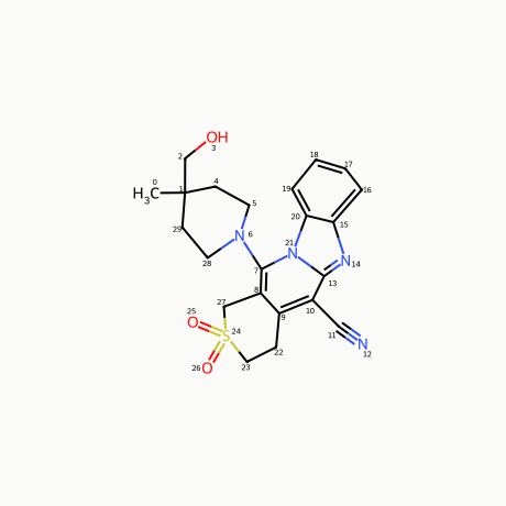 CC1(CO)CCN(c2c3c(c(C#N)c4nc5ccccc5n24)CCS(=O)(=O)C3)CC1